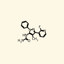 Cc1c(-c2cccnc2F)nn(-c2ccccc2)c1NC(N)=O